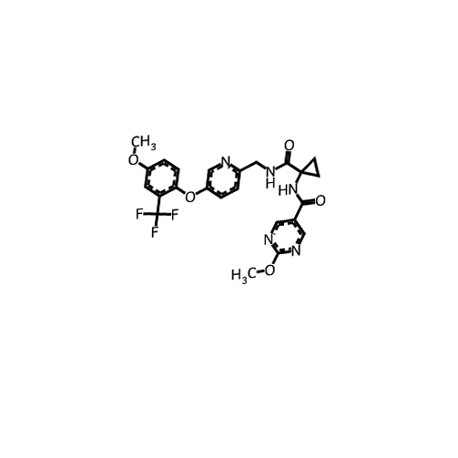 COc1ccc(Oc2ccc(CNC(=O)C3(NC(=O)c4cnc(OC)nc4)CC3)nc2)c(C(F)(F)F)c1